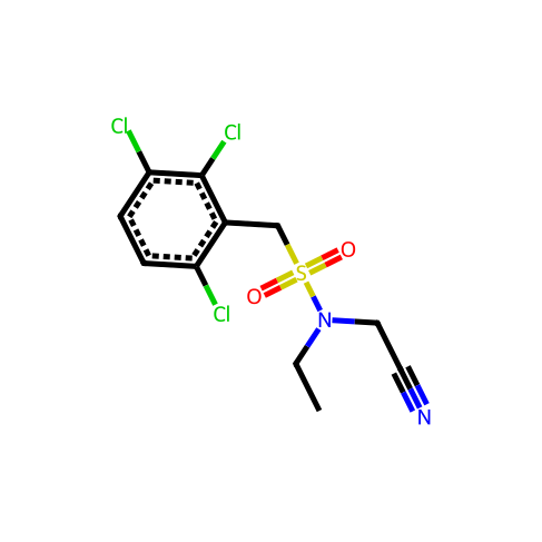 CCN(CC#N)S(=O)(=O)Cc1c(Cl)ccc(Cl)c1Cl